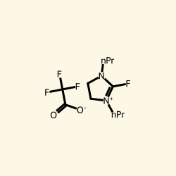 CCCN1CC[N+](CCC)=C1F.O=C([O-])C(F)(F)F